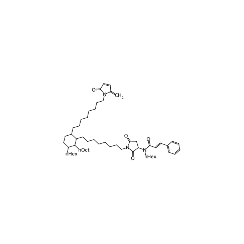 C=C1C=CC(=O)N1CCCCCCCCC1CCC(CCCCCC)C(CCCCCCCC)C1CCCCCCCCN1C(=O)CC(N(CCCCCC)C(=O)/C=C/c2ccccc2)C1=O